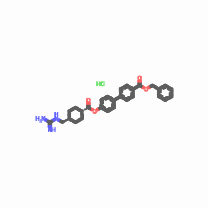 Cl.N=C(N)NC[C@H]1CC[C@H](C(=O)Oc2ccc(-c3ccc(C(=O)OCc4ccccc4)cc3)cc2)CC1